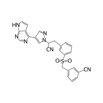 N#Cc1cccc(CS(=O)(=O)c2cccc(CC(C#N)n3cc(-c4ncnc5[nH]ccc45)cn3)c2)c1